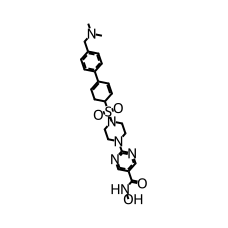 CN(C)Cc1ccc(C2=CCC(S(=O)(=O)N3CCN(c4ncc(C(=O)NO)cn4)CC3)C=C2)cc1